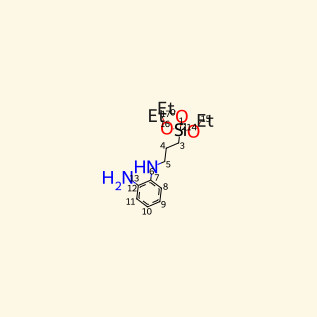 CCO[Si](CCCNc1ccccc1N)(OCC)OCC